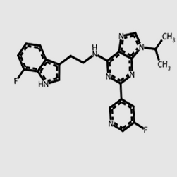 CC(C)n1cnc2c(NCCc3c[nH]c4c(F)cccc34)nc(-c3cncc(F)c3)nc21